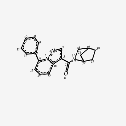 O=C(c1cnn2c(-c3ccccc3)cccc12)N1CC2CCC1C2